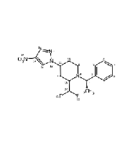 C[C@H](c1ccccc1)N1CCC(n2cc([N+](=O)[O-])cn2)CC1C(F)F